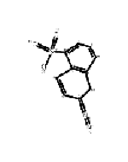 [N-]=[N+]=C1C=Cc2c(cccc2S(=O)(=O)Cl)C1